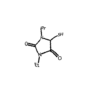 CCN1C(=O)C(S)N(C(C)C)C1=O